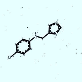 Clc1ccc(NCc2cs[c]n2)cc1